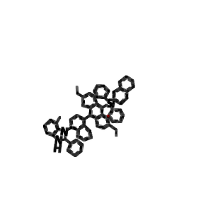 CCc1ccc2c([Si](c3ccccc3)(c3ccccc3)c3ccc4ccccc4c3)c3cc(CC)ccc3c(-c3ccc(N4c5c(C)cccc5NC4c4ccccc4)c4ccccc34)c2c1